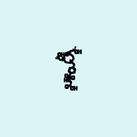 C[C@H](O)CN1CCN(Cc2ccc(S(=O)(=O)NCC(=O)O)cc2)CCN(C[C@H](C)O)CC1